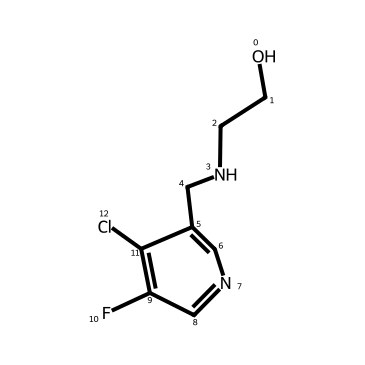 OCCNCc1cncc(F)c1Cl